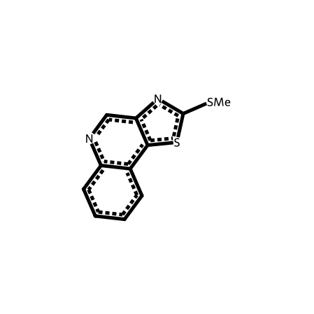 CSc1nc2cnc3ccccc3c2s1